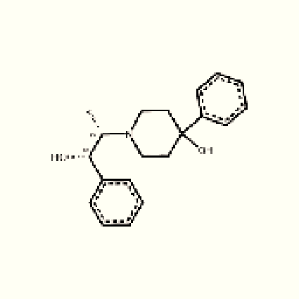 C[C@@H]([C@@H](O)c1ccccc1)N1CCC(O)(c2ccccc2)CC1